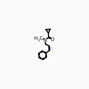 CN(C/C=C\c1ccccc1)C(=O)C1CC1